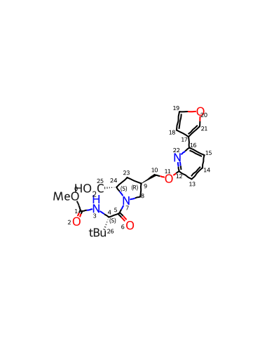 COC(=O)N[C@H](C(=O)N1C[C@H](COc2cccc(-c3ccoc3)n2)C[C@H]1C(=O)O)C(C)(C)C